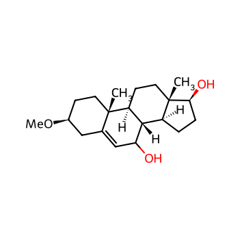 CO[C@H]1CC[C@@]2(C)C(=CC(O)[C@H]3[C@@H]4CC[C@H](O)[C@@]4(C)CC[C@@H]32)C1